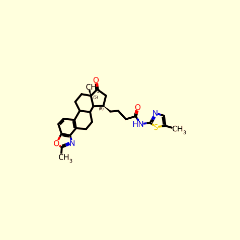 Cc1nc2c3c(ccc2o1)C1CC[C@]2(C)C(=O)C[C@@H](CCCC(=O)Nc4ncc(C)s4)C2C1CC3